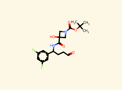 CC(C)(C)OC(=O)N1CC(O)(C(=O)NC(CCC=O)c2cc(F)cc(F)c2)C1